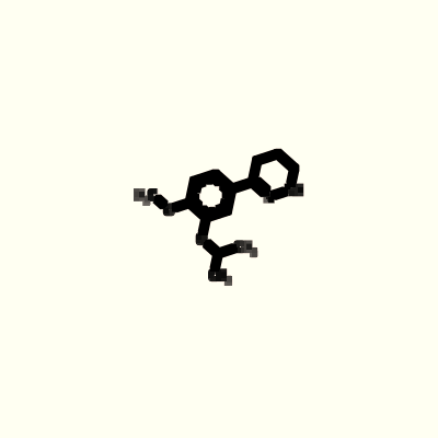 COc1ccc(C2=NNCCC2)cc1OC(C)C